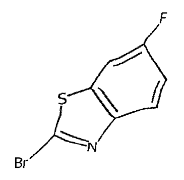 Fc1ccc2nc(Br)sc2c1